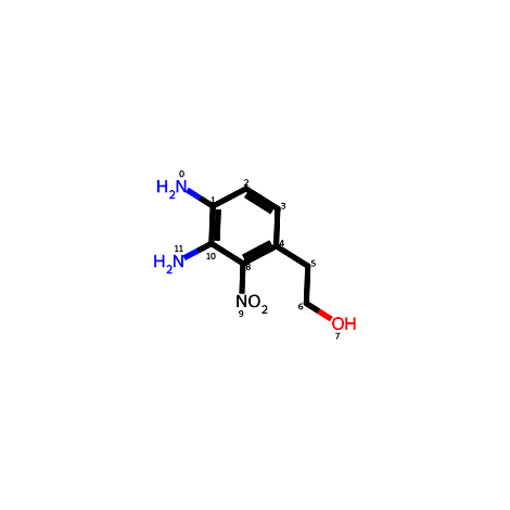 Nc1ccc(CCO)c([N+](=O)[O-])c1N